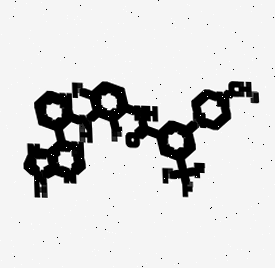 CN1CCN(c2cc(C(=O)Nc3ccc(F)c(Nc4ncccc4-c4ncnc5[nH]cnc45)c3F)cc(C(F)(F)F)c2)CC1